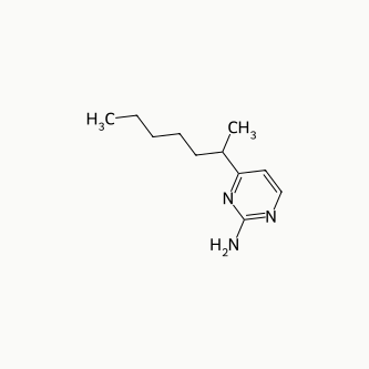 CCCCCC(C)c1ccnc(N)n1